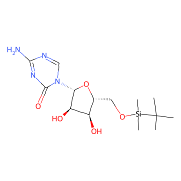 CC(C)(C)[Si](C)(C)OC[C@H]1O[C@@H](n2cnc(N)nc2=O)[C@H](O)[C@@H]1O